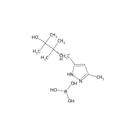 CC(C)(O)C(C)(C)O.Cc1cc(C)[nH]n1.OB(O)O